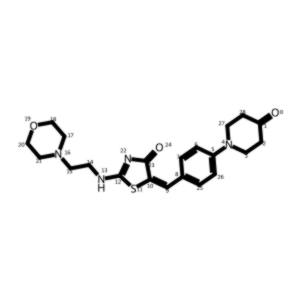 O=C1CCN(c2ccc(C=C3SC(NCCN4CCOCC4)=NC3=O)cc2)CC1